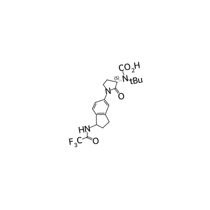 CC(C)(C)N(C(=O)O)[C@H]1CCN(c2ccc3c(c2)CCC3NC(=O)C(F)(F)F)C1=O